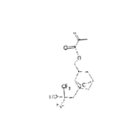 C=C(C)C(=O)OCC1CC2CCC1C(CC(O)(C(F)(F)F)C(F)(F)F)C2